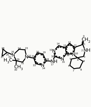 C=C1NCC2(CCCCC2)n2c1cc1cnc(Nc3ccc(N4CCN(C5CC5)C(C)(C)C4)cn3)nc12